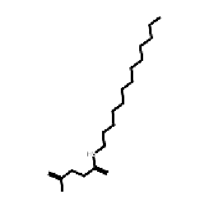 C=C(C)CCC(=C)NCCCCCCCCCCCCC